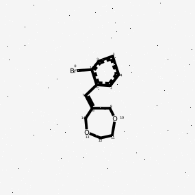 Brc1ccccc1C=C1COCCOC1